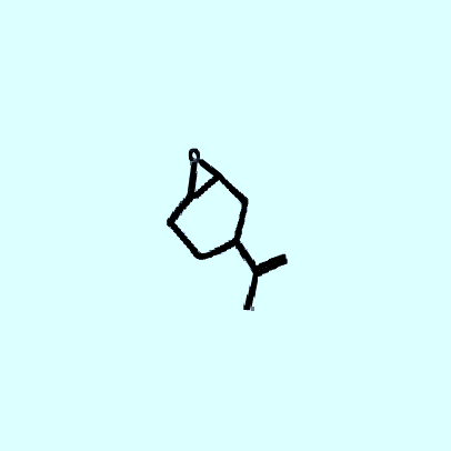 [CH2]C(=C)C1CCC2OC2C1